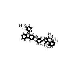 Cc1ccnc(-n2c3ccccc3c3ccc(Oc4cccc(-n5nc(C)c(-c6c(C)cccc6C)c5C)c4)cc32)c1